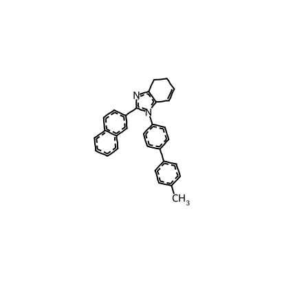 Cc1ccc(-c2ccc(-n3c(-c4ccc5ccccc5c4)nc4c3C=CCC4)cc2)cc1